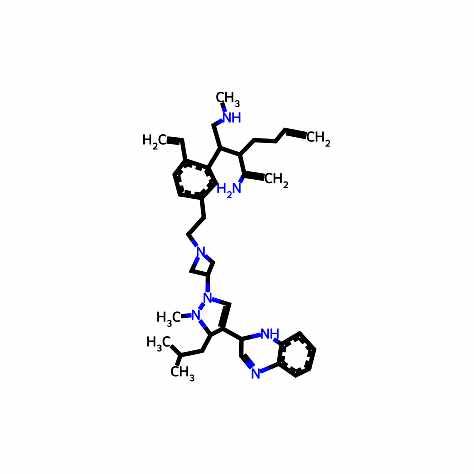 C=CCCC(C(=C)N)C(CNC)c1cc(CCN2CC(N3C=C(C4C=Nc5ccccc5N4)C(CC(C)C)N3C)C2)ccc1C=C